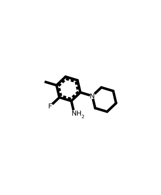 Cc1ccc(N2CCCCC2)c(N)c1F